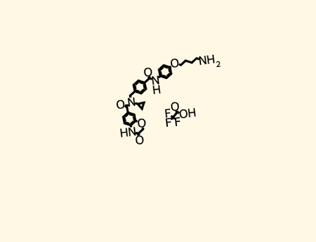 NCCCCOc1ccc(NC(=O)c2ccc(CN(C(=O)c3ccc4c(c3)OCC(=O)N4)C3CC3)cc2)cc1.O=C(O)C(F)(F)F